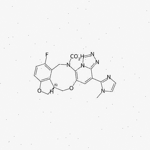 Cn1ccnc1-c1cc2c(n3cnnc13)N(C(=O)O)Cc1c(F)ccc3c1[C@@H](CO3)CO2